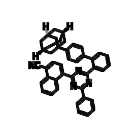 N#Cc1ccc(-c2nc(-c3ccccc3)nc(-c3ccccc3-c3ccc(C45C[C@H]6C[C@@H](C4)C[C@@H](C5)C6)cc3)n2)c2ccccc12